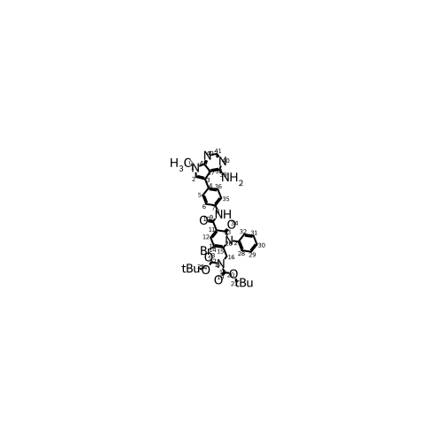 Cn1cc(-c2ccc(NC(=O)c3cc(Br)c(CN(C(=O)OC(C)(C)C)C(=O)OC(C)(C)C)n(-c4ccccc4)c3=O)cc2)c2c(N)ncnc21